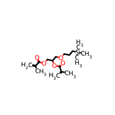 C=C(C)C(=O)OCC(COCCC[Si](C)(C)C)OC(=O)C(=C)C